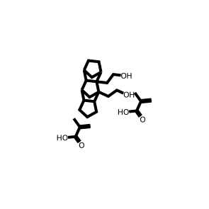 C=C(C)C(=O)O.C=C(C)C(=O)O.OCCC12CC(C3CCCC31)C1C3CCC(C3)C12CCO